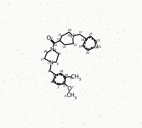 COc1ccc(CN2CCN(C(=O)C3CCN(Cc4ccncc4)CC3)CC2)cc1C